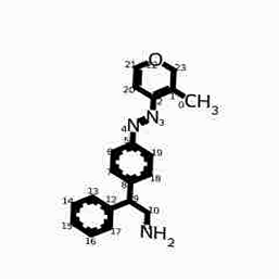 CC1=C(N=Nc2ccc(C(CN)c3ccccc3)cc2)C=COC1